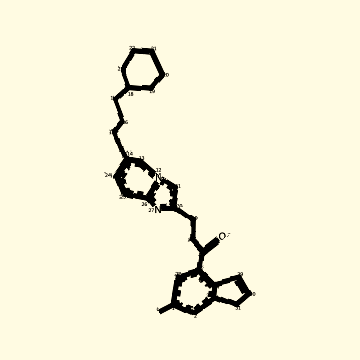 Cc1cc2c(c(C(=O)CCc3cn4cc(CCCC5CCCCC5)ccc4n3)c1)C=CC2